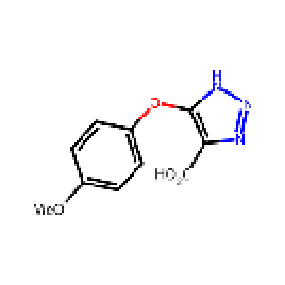 COc1ccc(Oc2[nH]nnc2C(=O)O)cc1